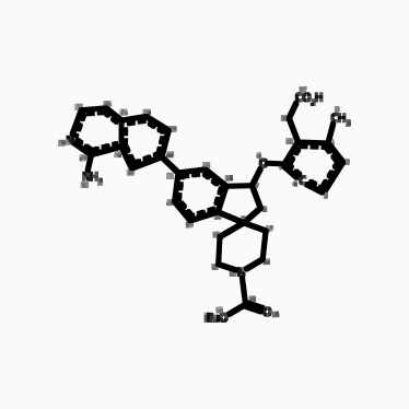 Cc1cccc(OC2CC3(CCN(C(=O)OCC(C)C)CC3)c3ccc(-c4ccc5ccnc(N)c5c4)cc32)c1CC(=O)O